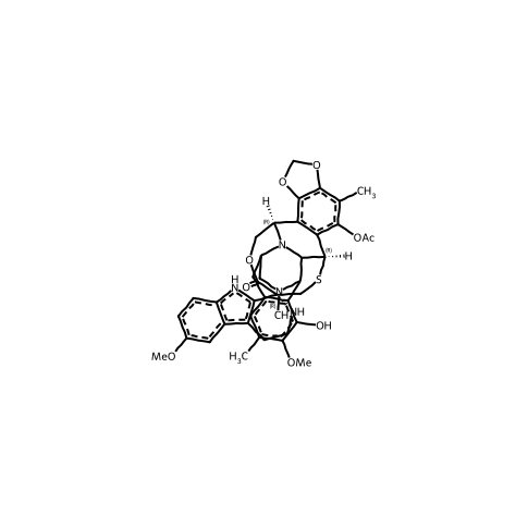 COc1ccc2[nH]c3c(c2c1)CCN[C@]31CS[C@@H]2c3c(OC(C)=O)c(C)c4c(c3[C@H](COC1=O)N1C3Cc5cc(C)c(OC)c(O)c5C(C21)N(C)C3)OCO4